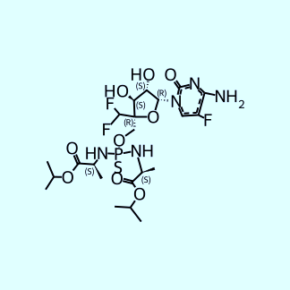 CC(C)OC(=O)[C@H](C)NP(=S)(N[C@@H](C)C(=O)OC(C)C)OC[C@@]1(C(F)F)O[C@@H](n2cc(F)c(N)nc2=O)[C@@H](O)[C@@H]1O